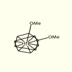 CO[C]12[CH]3[CH]4[CH]5[C]1(OC)[Hf]43521678[CH]2[CH]1[CH]6[CH]7[CH]28